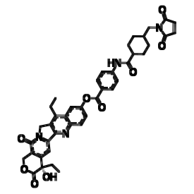 CCc1c2c(nc3ccc(OC(=O)c4ccc(NC(=O)C5CCC(CN6C(=O)C=CC6=O)CC5)cc4)cc13)-c1cc3c(c(=O)n1C2)COC(=O)[C@]3(O)CC